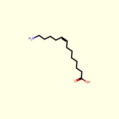 NCCCC/C=C\CCCCCCC(=O)O